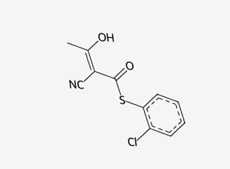 C/C(O)=C(\C#N)C(=O)Sc1ccccc1Cl